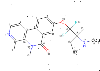 Cc1nccc2c3ccc(OC(F)(F)C(C)(CC(C)C)NC(=O)O)cc3c(=O)n(C)c12